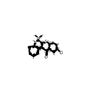 CN(C)c1nc2ccccc2c2c(=O)c3cc(Cl)ccc3sc12